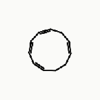 [C]1=C\C=C/CC/C=C\C\C=C/1